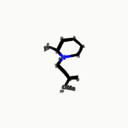 CCC1CCCCN1CC(C)OC